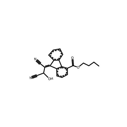 CCCCOC(=O)c1cccc2c1-c1ccccc1/C2=C(\C#N)C(O)C#N